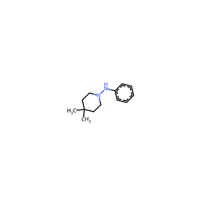 CC1(C)CCN(Nc2ccccc2)CC1